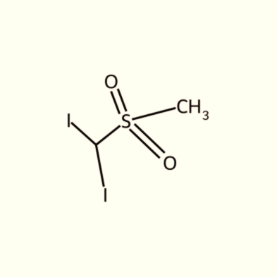 CS(=O)(=O)C(I)I